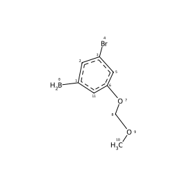 Bc1cc(Br)cc(OCOC)c1